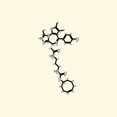 Cc1sc2c(c1C)C(c1ccc(Cl)cc1)=N[C@H](CC(=O)NCCCNC(=O)OC1CCC=CCCC1)c1nnc(C)n1-2